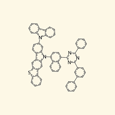 c1ccc(-c2cccc(-c3nc(-c4ccccc4)nc(-c4ccc(-n5c6cc(-n7c8ccccc8c8ccccc87)ccc6c6cc7sc8ccccc8c7cc65)c5ccccc45)n3)c2)cc1